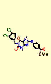 COC(=O)c1ccc(Nc2nc3c(c(=O)n(Cc4ccc(Cl)c(Cl)c4)c(=O)n3C)n2C)cc1